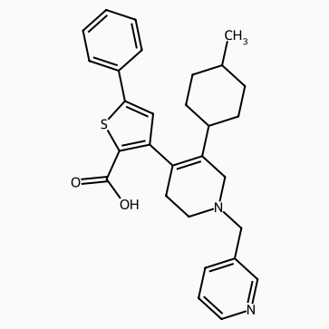 CC1CCC(C2=C(c3cc(-c4ccccc4)sc3C(=O)O)CCN(Cc3cccnc3)C2)CC1